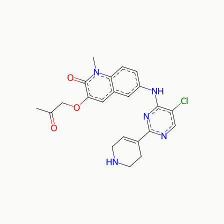 CC(=O)COc1cc2cc(Nc3nc(C4=CCNCC4)ncc3Cl)ccc2n(C)c1=O